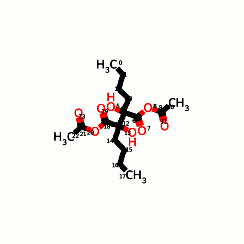 CCCCC(O)(C(=O)OC(C)=O)C(O)(CCCC)C(=O)OC(C)=O